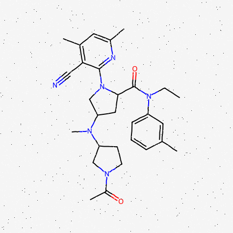 CCN(C(=O)C1CC(N(C)C2CCN(C(C)=O)C2)CN1c1nc(C)cc(C)c1C#N)c1cccc(C)c1